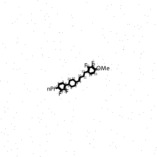 CCCc1ccc(C2CCC(/C=C/CCc3ccc(OC)c(F)c3F)CC2)c(F)c1F